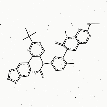 CNc1ncc2cc(-c3cc(N(C(N)=O)c4cnc(C(C)(C)C)nc4-c4ccc5oncc5c4)ccc3C)c(=O)n(C)c2n1